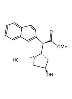 COC(=O)[C@H](c1ccc2ccccc2c1)[C@@H]1C[C@@H](O)CN1.Cl